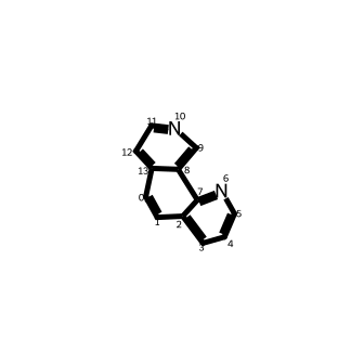 [c]1cc2cccnc2c2cnccc12